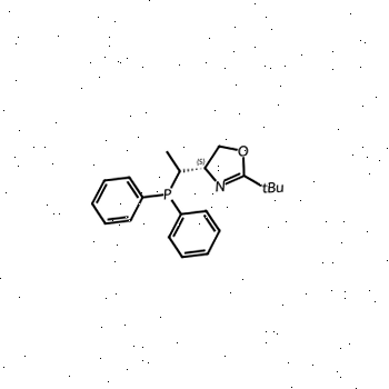 CC([C@@H]1COC(C(C)(C)C)=N1)P(c1ccccc1)c1ccccc1